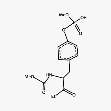 CCC(=O)C(Cc1ccc(OP(=O)(O)OC)cc1)NC(=O)OC